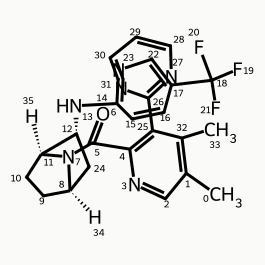 Cc1cnc(C(=O)N2[C@@H]3CC[C@H]2[C@H](Nc2ccc(C(F)(F)F)cn2)C3)c(-c2ncccn2)c1C